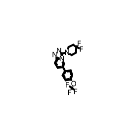 FC1(F)CCN(c2nnc3ccc(-c4ccc(OC(F)(F)F)cc4)cn23)CC1